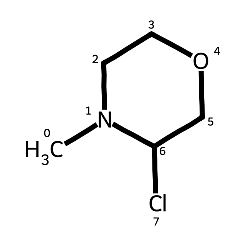 CN1CCOCC1Cl